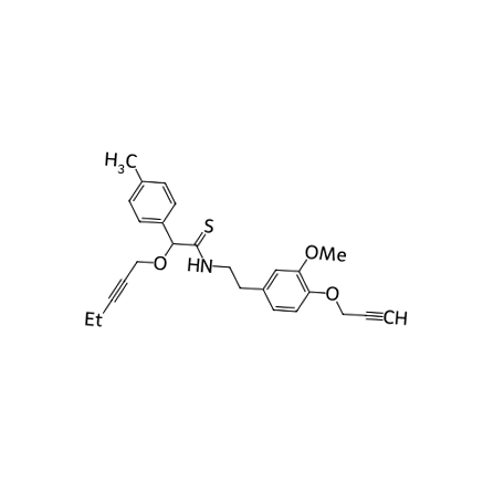 C#CCOc1ccc(CCNC(=S)C(OCC#CCC)c2ccc(C)cc2)cc1OC